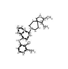 C[C@@H]1OCC2(CCN(c3ncc(Sc4ccnc(N)c4Cl)c4nncn34)CC2)[C@@H]1N